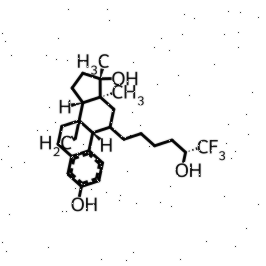 C=CC12CCc3cc(O)ccc3[C@H]1C(CCCC[C@@H](O)C(F)(F)F)C[C@@]1(C)[C@H]2CC[C@]1(C)O